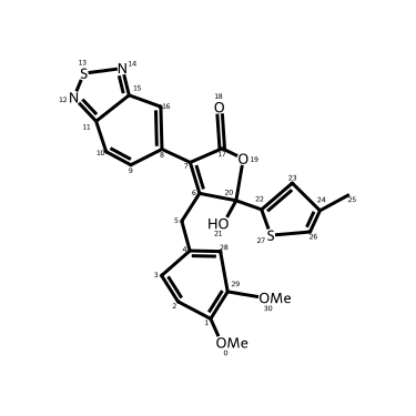 COc1ccc(CC2=C(c3ccc4nsnc4c3)C(=O)OC2(O)c2cc(C)cs2)cc1OC